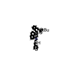 CC(C)(C)OC(=O)N1Cc2ccccc2C[C@@H]1CN(C/C=C/CNCC1CCOCC1)[C@H]1CCCc2cccnc21